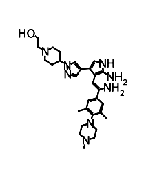 Cc1cc(/C(N)=C/c2c(-c3cnn(C4CCN(CCO)CC4)c3)c[nH]c2N)cc(C)c1N1CCN(C)CC1